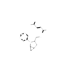 NCC1CC2CC2N1c1cncnc1.O=C(O)C=CC(=O)O